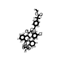 CCOC(=O)C(C)(C)c1ccc(CONC(=O)[C@@H]2c3ccccc3C(=O)N([C@H]3CCCC[C@@H]3NS(C)(=O)=O)[C@H]2c2ccc(Cl)cc2)cc1